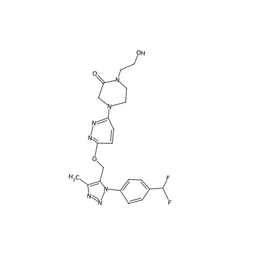 Cc1nnn(-c2ccc(C(F)F)cc2)c1COc1ccc(N2CCN(CCO)C(=O)C2)nn1